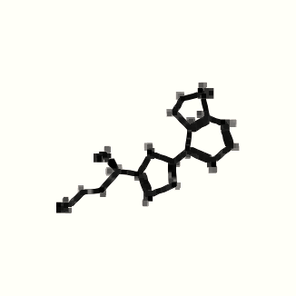 CCC[C@H](CCC#N)c1ncc(-c2ncnc3c2CCN3)s1